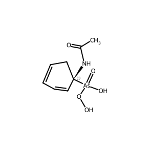 CC(=O)N[C@@]1([As](=O)(O)OO)C=CC=CC1